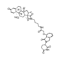 C[C@@H]1C[C@H]2[C@@H]3CCC4=CC(=O)C=C[C@]4(C)[C@@]3(F)[C@@H](O)C[C@]2(C)[C@@]1(O)C(=O)NCCCCNC(=O)COc1cccc2c1C(=O)N(C1CCC(=O)NC1=O)C2